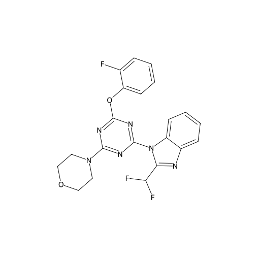 Fc1ccccc1Oc1nc(N2CCOCC2)nc(-n2c(C(F)F)nc3ccccc32)n1